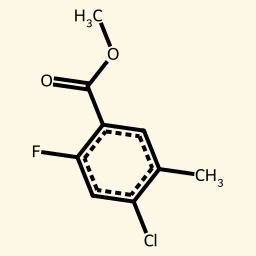 COC(=O)c1cc(C)c(Cl)cc1F